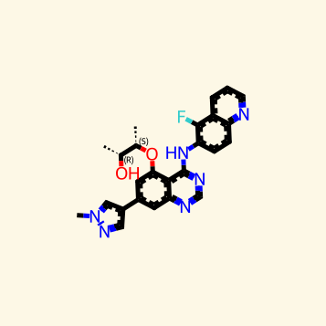 C[C@H](Oc1cc(-c2cnn(C)c2)cc2ncnc(Nc3ccc4ncccc4c3F)c12)[C@@H](C)O